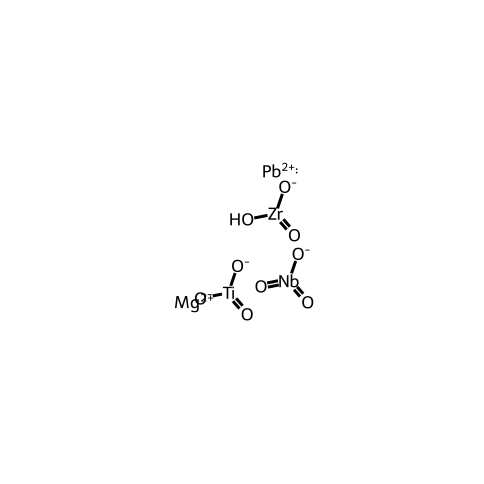 [Mg+2].[O]=[Nb](=[O])[O-].[O]=[Ti]([O-])[O-].[O]=[Zr]([O-])[OH].[Pb+2]